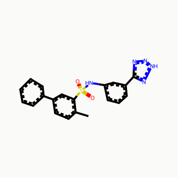 Cc1ccc(-c2ccccc2)cc1S(=O)(=O)Nc1cccc(-c2nn[nH]n2)c1